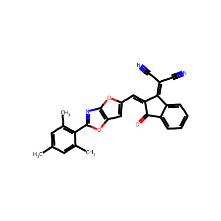 Cc1cc(C)c(-c2nc3oc(/C=C4\C(=O)c5ccccc5C4=C(C#N)C#N)cc3o2)c(C)c1